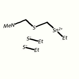 CC[S-].CC[S-].C[CH2][Sn+2][CH2]SCNC